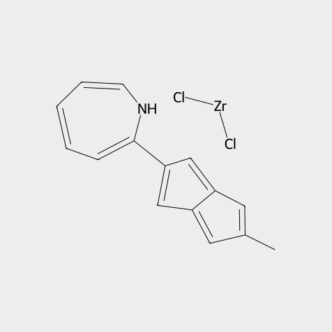 CC1=CC2=CC(C3=CC=CC=CN3)=CC2=C1.[Cl][Zr][Cl]